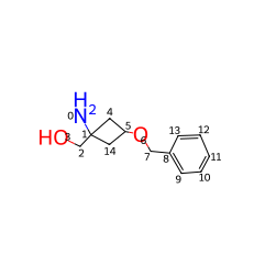 NC1(CO)CC(OCc2ccccc2)C1